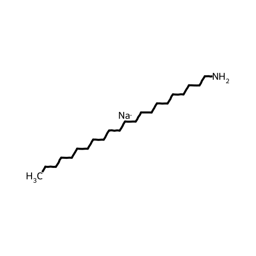 CCCCCCCCCCCCCCCCCCCCCCN.[Na]